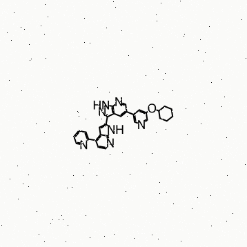 c1ccc(-c2ccnc3[nH]c(-c4n[nH]c5ncc(-c6cncc(OC7CCCCC7)c6)cc45)cc23)nc1